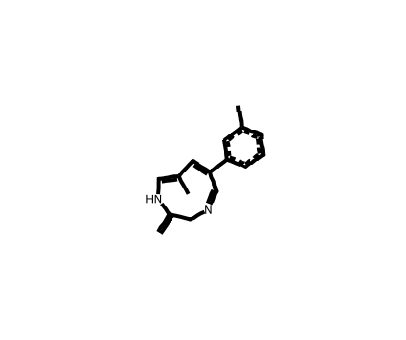 C=C1C\N=C/C(c2cccc(C)c2)=C\C(C)=C\N1